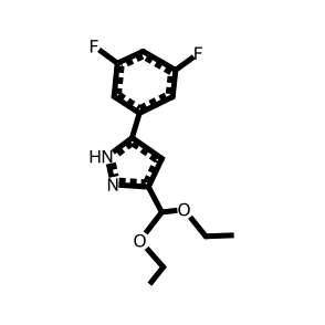 CCOC(OCC)c1cc(-c2cc(F)cc(F)c2)[nH]n1